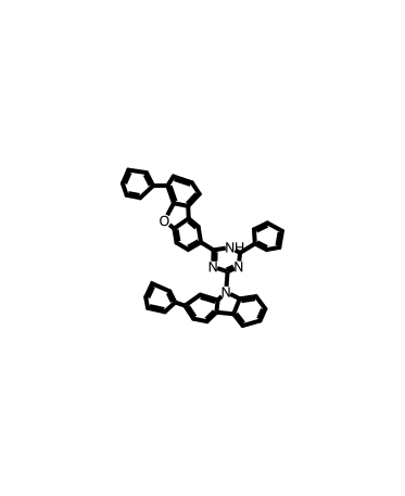 c1ccc(-c2ccc3c4ccccc4n(C4=NC(c5ccccc5)NC(c5ccc6oc7c(-c8ccccc8)cccc7c6c5)=N4)c3c2)cc1